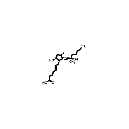 CCCCC[C@@](C)(O)/C=C/[C@H]1C(=O)C[C@H](O)[C@@H]1C/C=C/CCCC(=O)O